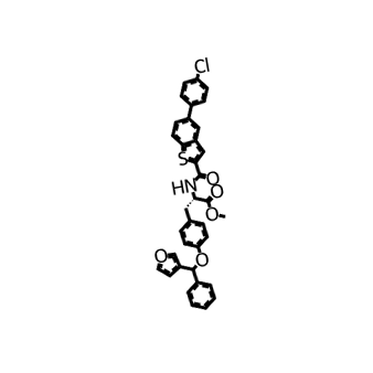 COC(=O)[C@H](Cc1ccc(OC(c2ccccc2)c2ccoc2)cc1)NC(=O)c1cc2cc(-c3ccc(Cl)cc3)ccc2s1